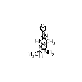 CCNc1nc(Nc2cn(C3CCOCC3)nc2C)ncc1N